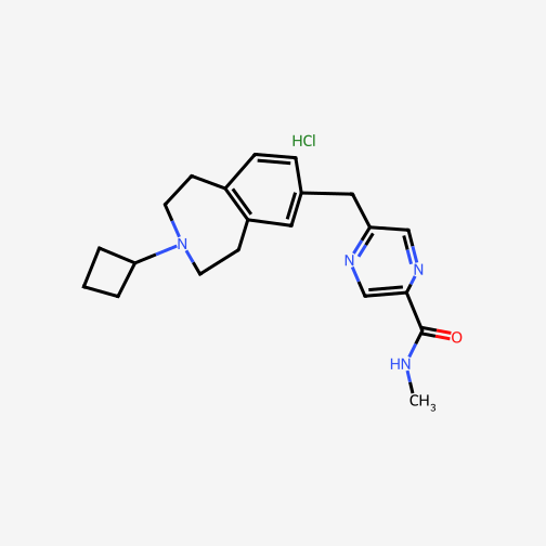 CNC(=O)c1cnc(Cc2ccc3c(c2)CCN(C2CCC2)CC3)cn1.Cl